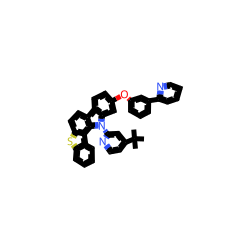 CC(C)(C)c1ccnc(-n2c3cc(Oc4cccc(-c5ccccn5)c4)ccc3c3ccc4sc5ccccc5c4c32)c1